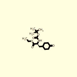 CCOC(=O)[C@H](CC1CCC(=O)CC1)NC(=O)OC(C)(C)C